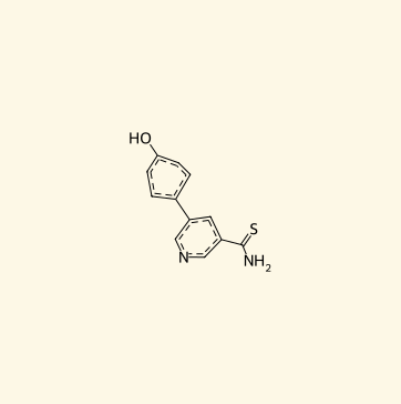 NC(=S)c1cncc(-c2ccc(O)cc2)c1